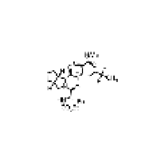 CCOC(=O)N[C@H](C(=O)N1C[C@@H]2CCC[C@@H]2[C@H]1C(=O)N[C@@H](CCC(C)(F)F)C(=O)C(=O)NC)C(C)(C)C